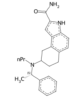 CCCN(C1CCc2ccc3[nH]c(C(N)=O)cc3c2C1)[C@@H](C)c1ccccc1